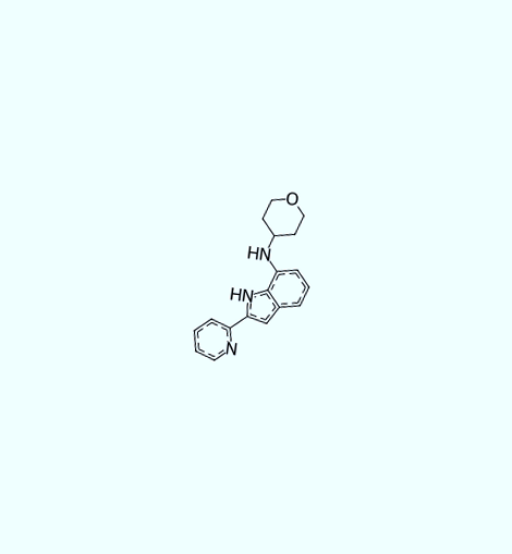 c1ccc(-c2cc3cccc(NC4CCOCC4)c3[nH]2)nc1